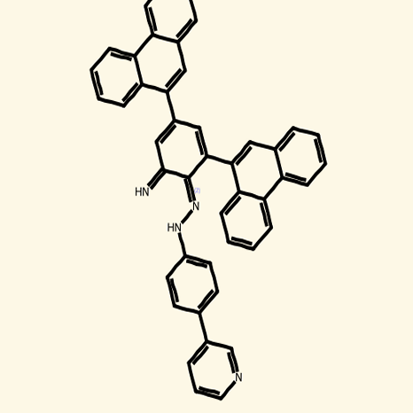 N=C1C=C(c2cc3ccccc3c3ccccc23)C=C(c2cc3ccccc3c3ccccc23)/C1=N/Nc1ccc(-c2cccnc2)cc1